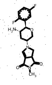 CN1C(=O)C2=CN([C@H]3CO[C@H](c4cc(F)ccc4F)[C@@H](N)C3)CC2C1=O